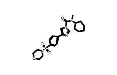 CN(C(=O)n1cnc(-c2ccc(S(=O)(=O)N3CCOCC3)cc2)c1)C1CCCCC1